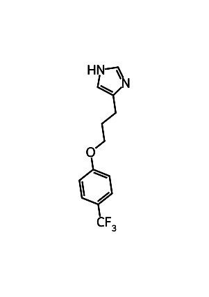 FC(F)(F)c1ccc(OCCCc2c[nH]cn2)cc1